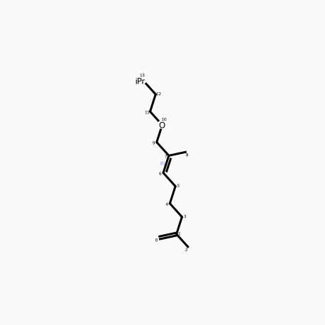 C=C(C)CCC/C=C(\C)COCCC(C)C